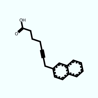 O=C(O)CCCC#CCc1ccc2ccccc2c1